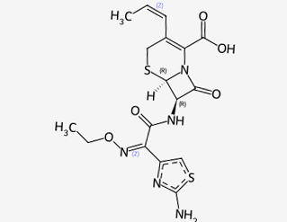 C/C=C\C1=C(C(=O)O)N2C(=O)[C@@H](NC(=O)/C(=N\OCC)c3csc(N)n3)[C@H]2SC1